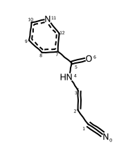 N#CC=[C]NC(=O)c1cccnc1